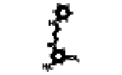 Cc1cc(C)cc(NCCCNc2ccccc2)c1